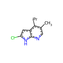 Cc1cnc2[nH]c(Cl)cc2c1C(C)C